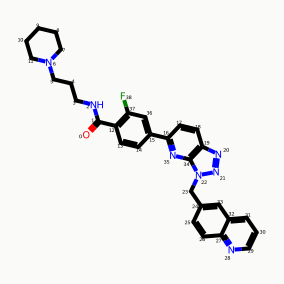 O=C(NCCCN1CCCCC1)c1ccc(-c2ccc3nnn(Cc4ccc5ncccc5c4)c3n2)cc1F